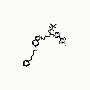 CC(C)(C)[Si](C)(C)O[C@H](CCCn1ccc2ccc(OCCCCc3ccccc3)cc21)n1cnc(C(N)=O)c1